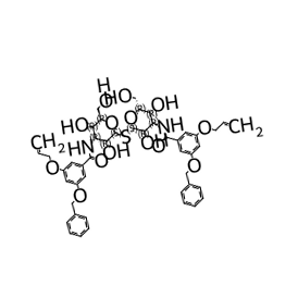 C=CCOc1cc(OCc2ccccc2)cc(C(=O)N[C@@H]2[C@@H](O)[C@@H](CO)O[C@@H](S[C@@H]3O[C@H](CO)[C@H](O)[C@@H](NC(=O)c4cc(OCC=C)cc(OCc5ccccc5)c4)[C@H]3O)[C@@H]2O)c1